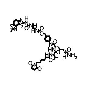 Cc1nc2c(ccc3nc(NC(=O)NCCNC(=O)OCc4ccc(N(C)C(=O)[C@H](CCCNC(N)=O)NC(=O)[C@@H](NC(=O)CCCCCN5C(=O)C=CC5=O)C(C)C)cc4)sc32)s1